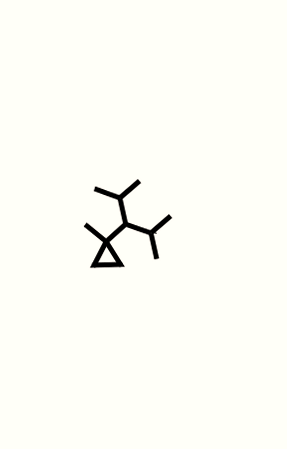 C[C](C)C(C(C)C)C1(C)CC1